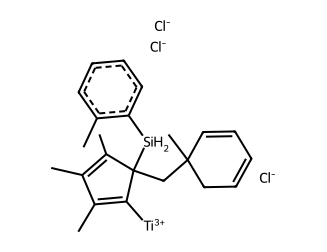 CC1=C(C)C(CC2(C)C=CC=CC2)([SiH2]c2ccccc2C)[C]([Ti+3])=C1C.[Cl-].[Cl-].[Cl-]